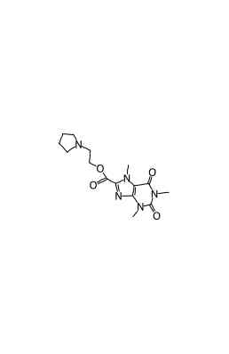 Cn1c(=O)c2c(nc(C(=O)OCCN3CCCC3)n2C)n(C)c1=O